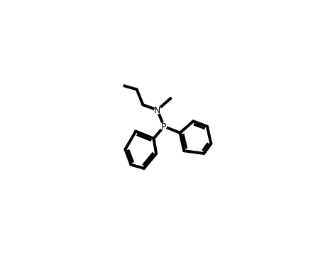 CCCN(C)P(c1ccccc1)c1ccccc1